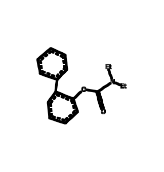 CCN(CC)C(=O)Oc1ccccc1-c1ccccc1